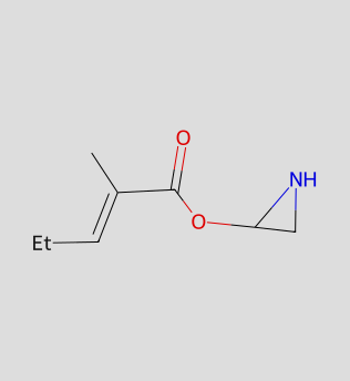 CCC=C(C)C(=O)OC1CN1